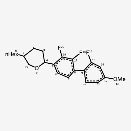 CCCCCCC1CCC(c2ccc(-c3ccc(OC)cc3F)c(F)c2F)OC1